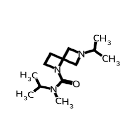 CC(C)N1CC2(CCN2C(=O)N(C)C(C)C)C1